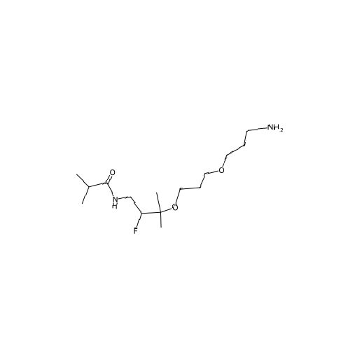 CC(C)C(=O)NCC(F)C(C)(C)OCCCOCCCN